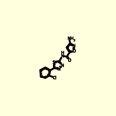 Nc1cc(C(=O)Nc2nnc(-c3ccccc3Cl)s2)on1